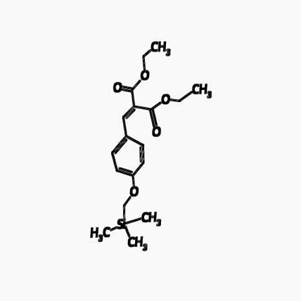 CCOC(=O)C(=Cc1ccc(OC[Si](C)(C)C)cc1)C(=O)OCC